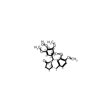 COc1ccc(C[C@@H]2CCC(=O)N2Cc2cc(OC)c(OC)c(OC)c2)cc1OC